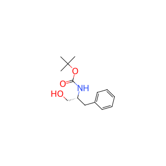 CC(C)(C)OC(=O)N[C@@H](CO)Cc1ccccc1